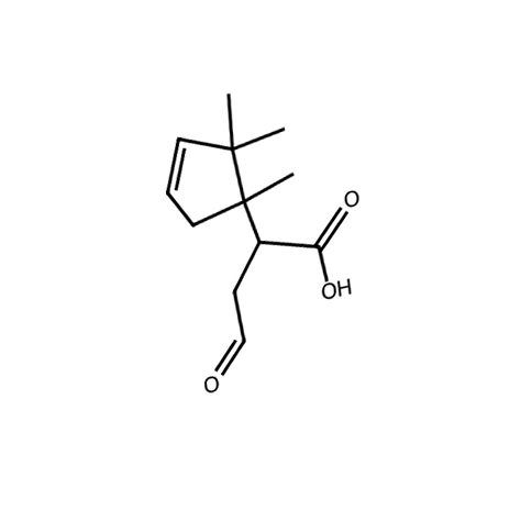 CC1(C)C=CCC1(C)C(CC=O)C(=O)O